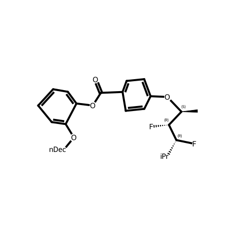 CCCCCCCCCCOc1ccccc1OC(=O)c1ccc(O[C@@H](C)[C@@H](F)[C@H](F)C(C)C)cc1